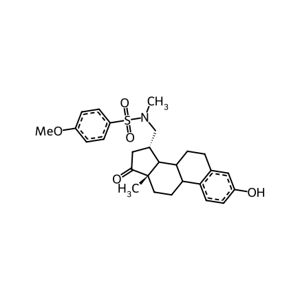 COc1ccc(S(=O)(=O)N(C)C[C@H]2CC(=O)[C@@]3(C)CCC4c5ccc(O)cc5CCC4C23)cc1